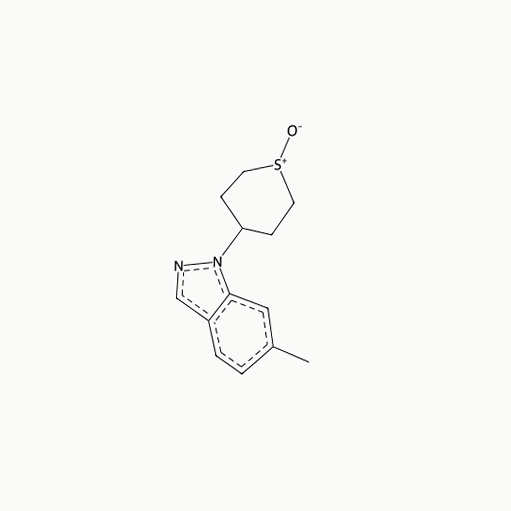 Cc1ccc2cnn(C3CC[S+]([O-])CC3)c2c1